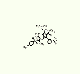 Cc1ccc(S(=O)(=O)n2nc(C)c(Cn3cc4c(CC(C)C)nn(C)c(=O)c4c3-c3cccc(C(O)C(F)(F)F)c3)c2C)cc1